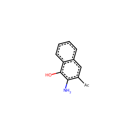 CC(=O)c1cc2ccccc2c(O)c1N